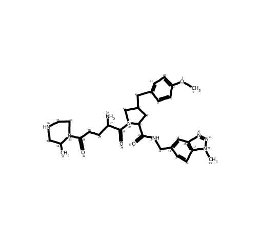 COc1ccc(CC2CC(C(=O)NCc3ccc4c(c3)nnn4C)N(C(=O)C(N)CCC(=O)N3CCNCC3C)C2)cc1